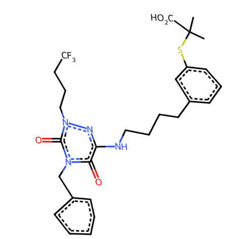 CC(C)(Sc1cccc(CCCCNc2nn(CCCC(F)(F)F)c(=O)n(Cc3ccccc3)c2=O)c1)C(=O)O